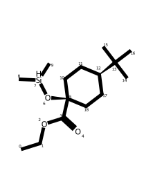 CCOC(=O)[C@]1(O[SiH](C)C)CC[C@@H](C(C)(C)C)CC1